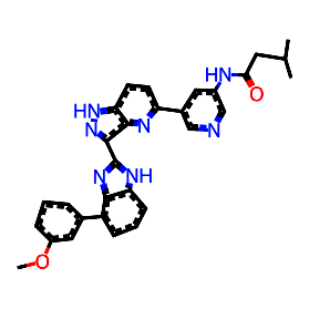 COc1cccc(-c2cccc3[nH]c(-c4n[nH]c5ccc(-c6cncc(NC(=O)CC(C)C)c6)nc45)nc23)c1